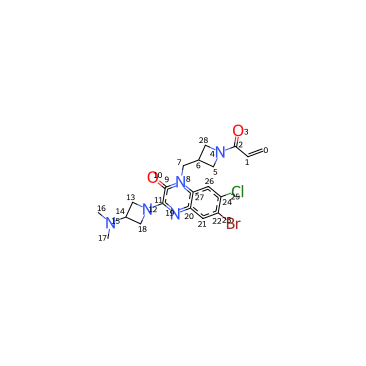 C=CC(=O)N1CC(Cn2c(=O)c(N3CC(N(C)C)C3)nc3cc(Br)c(Cl)cc32)C1